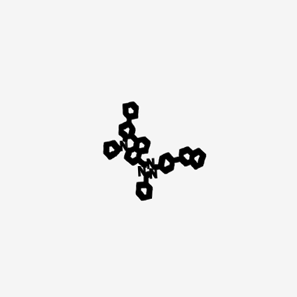 c1ccc(-c2ccc3c(c2)-c2cccc4c(-c5nc(-c6ccccc6)nc(-c6ccc(-c7ccc8ccccc8c7)cc6)n5)ccc(c24)N3c2ccccc2)cc1